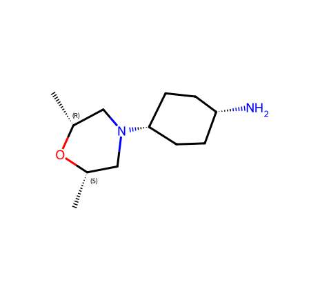 C[C@@H]1CN([C@H]2CC[C@@H](N)CC2)C[C@H](C)O1